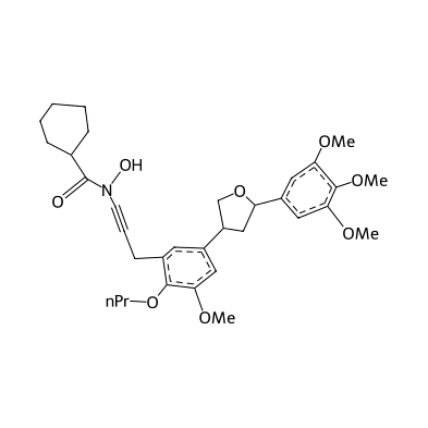 CCCOc1c(CC#CN(O)C(=O)C2CCCCC2)cc(C2COC(c3cc(OC)c(OC)c(OC)c3)C2)cc1OC